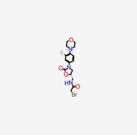 O=C(CBr)NC[C@H]1CN(c2ccc(N3CCOCC3)c(F)c2)C(=O)O1